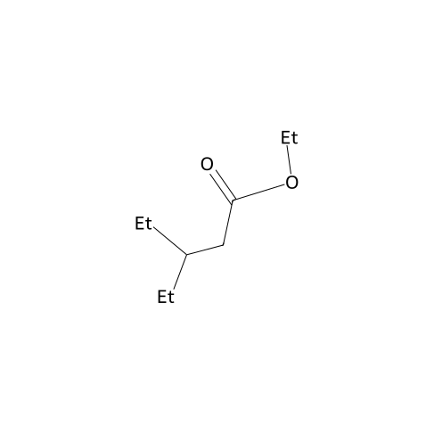 CCOC(=O)CC(CC)CC